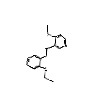 CCSc1ccccc1C[CH]c1ccccc1SC